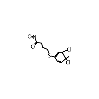 CC1(Cl)C=CC(SCCCC(=O)N=O)=CC1Cl